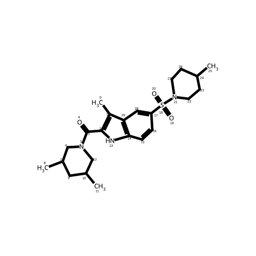 Cc1c(C(=O)N2CC(C)CC(C)C2)[nH]c2ccc(S(=O)(=O)N3CCC(C)CC3)cc12